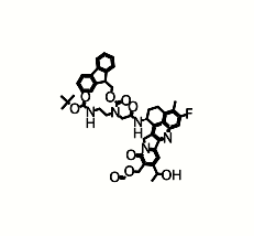 Cc1c(F)cc2nc3c(c4c2c1CC[C@@H]4NC(=O)CN(CCNC(=O)OC(C)(C)C)C(=O)OCC1c2ccccc2-c2ccccc21)Cn1c-3cc(C(C)O)c(COC=O)c1=O